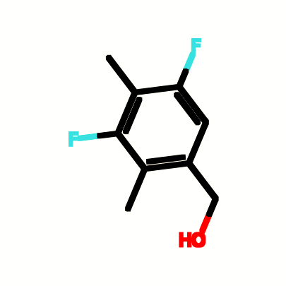 Cc1c(F)cc(CO)c(C)c1F